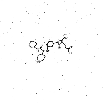 O=C(O)COc1c(C(=O)O)sc(-c2cccc(NC(C(=O)NC3CCCCC3)C3CCNCC3)c2)c1Br